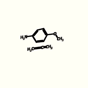 C=C=C.COc1ccc(N)cc1